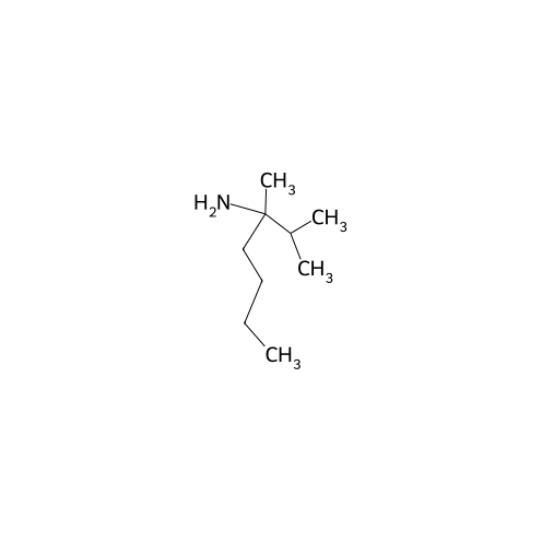 CCCCC(C)(N)C(C)C